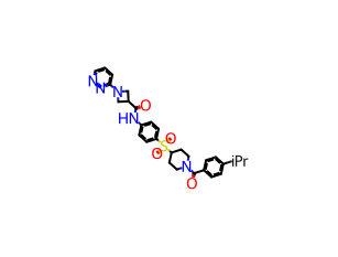 CC(C)c1ccc(C(=O)N2CCC(S(=O)(=O)c3ccc(NC(=O)C4CN(c5cccnn5)C4)cc3)CC2)cc1